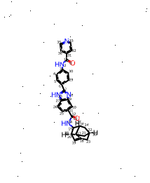 O=C(Nc1ccc(-c2nc3cc(C(=O)NC4[C@@H]5CC6=C[C@H]4C[C@@H](C6)C5)ccc3[nH]2)cc1)c1ccncc1